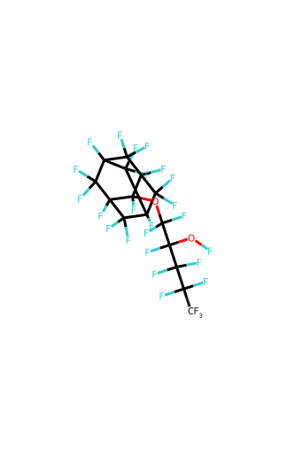 FOC(F)(C(F)(F)OC1(F)C2(F)C(F)(F)C3(F)C(F)(F)C(F)(C2(F)F)C(F)(F)C1(F)C3(F)F)C(F)(F)C(F)(F)C(F)(F)F